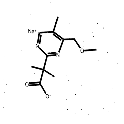 COCc1nc(C(C)(C)C(=O)[O-])ncc1C.[Na+]